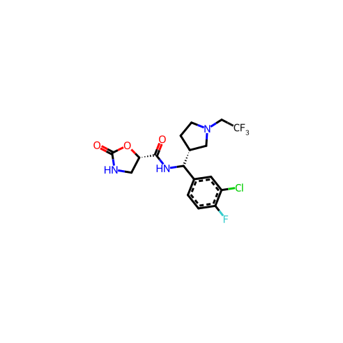 O=C1NC[C@@H](C(=O)NC(c2ccc(F)c(Cl)c2)[C@@H]2CCN(CC(F)(F)F)C2)O1